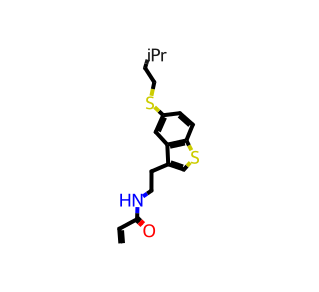 C=CC(=O)NCCc1csc2ccc(SCCC(C)C)cc12